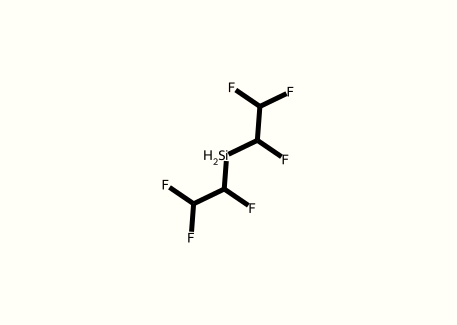 FC(F)C(F)[SiH2]C(F)C(F)F